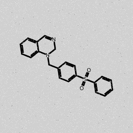 O=S(=O)(c1ccccc1)c1ccc(CN2CN=Cc3ccccc32)cc1